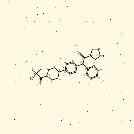 CCC(C)(C)C(=O)N1CCC(c2ccc(N(C(=O)[C@H]3CCNC3)c3cccnn3)cc2)CC1